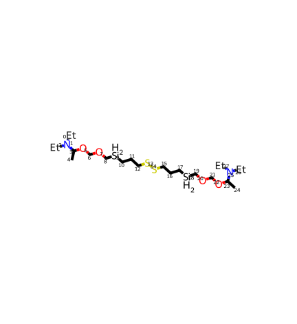 CCN(CC)C(C)OCOC[SiH2]CCCSSCCC[SiH2]COCOC(C)N(CC)CC